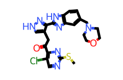 CSc1ncc(Cl)c(C(=O)Cc2c[nH]nc2-c2nc3cc(CN4CCOCC4)ccc3[nH]2)n1